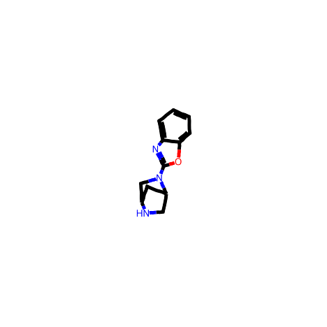 c1ccc2oc(N3CC4CC3CN4)nc2c1